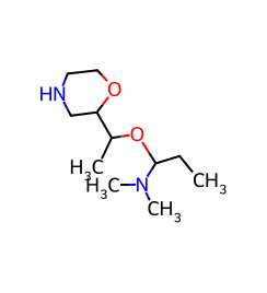 CCC(OC(C)C1CNCCO1)N(C)C